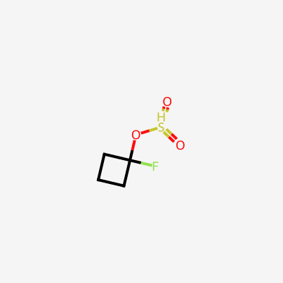 O=[SH](=O)OC1(F)CCC1